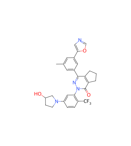 Cc1cc(-c2cnco2)cc(-c2nn(-c3cc(N4CCC(O)C4)ccc3C(F)(F)F)c(=O)c3c2CCC3)c1